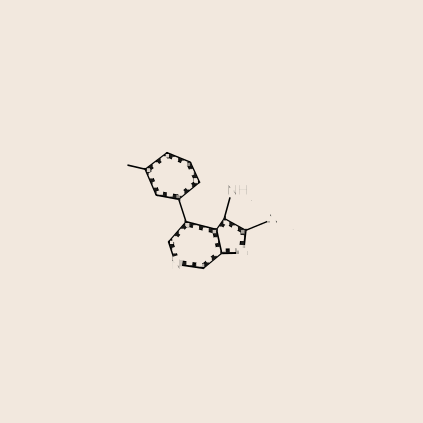 Cc1cccc(-c2cncc3oc(N)c(N)c23)c1